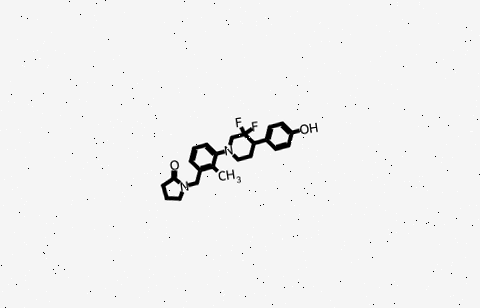 Cc1c(CN2CCCC2=O)cccc1N1CCC(c2ccc(O)cc2)C(F)(F)C1